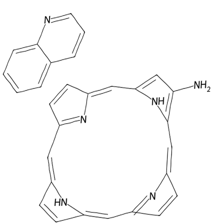 Nc1cc2cc3nc(cc4ccc(cc5nc(cc1[nH]2)C=C5)[nH]4)C=C3.c1ccc2ncccc2c1